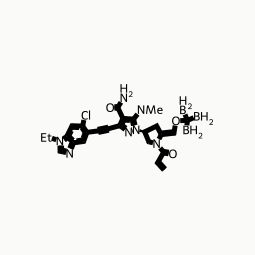 BC(B)(B)O/C=C1\C[C@H](n2nc(C#Cc3cc4ncn(CC)c4cc3Cl)c(C(N)=O)c2NC)CN1C(=O)C=C